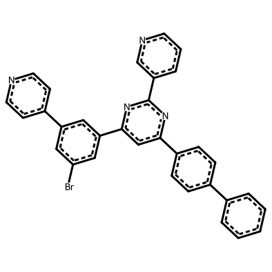 Brc1cc(-c2ccncc2)cc(-c2cc(-c3ccc(-c4ccccc4)cc3)nc(-c3cccnc3)n2)c1